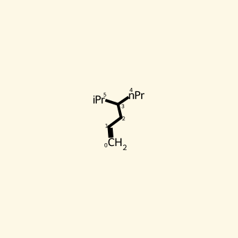 C=CCC(CCC)C(C)C